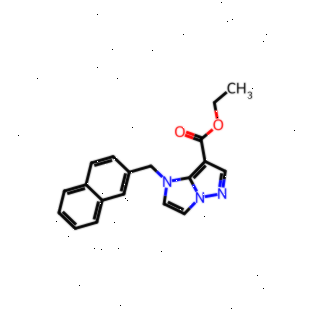 CCOC(=O)c1cnn2ccn(Cc3ccc4ccccc4c3)c12